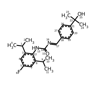 CC(C)c1cc(F)cc(C(C)C)c1NC(=O)N=Cc1ccc(C(C)(C)O)cc1